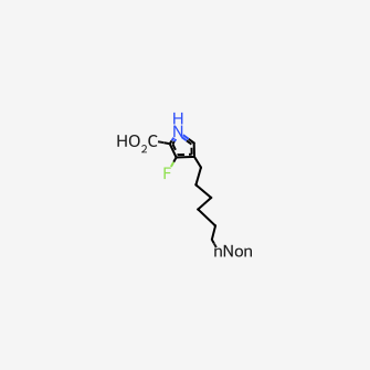 CCCCCCCCCCCCCCCc1c[nH]c(C(=O)O)c1F